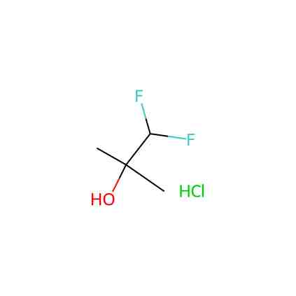 CC(C)(O)C(F)F.Cl